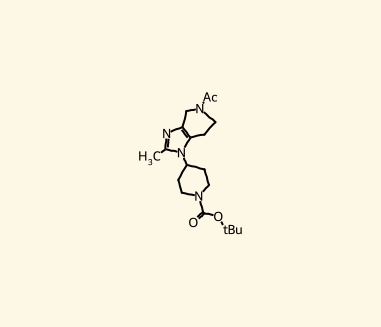 CC(=O)N1CCc2c(nc(C)n2C2CCN(C(=O)OC(C)(C)C)CC2)C1